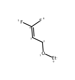 C[CH]OCC=C(F)F